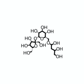 OCC(O)CC(O)OC[C@H]1O[C@H](O[C@]2(CO)O[C@H](CO)[C@@H](O)[C@@H]2O)[C@H](O)[C@@H](O)[C@@H]1O